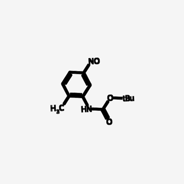 Cc1ccc(N=O)cc1NC(=O)OC(C)(C)C